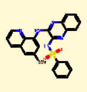 COc1cc(Nc2nc3ccccc3nc2NS(=O)(=O)c2ccccc2)c2ncccc2c1